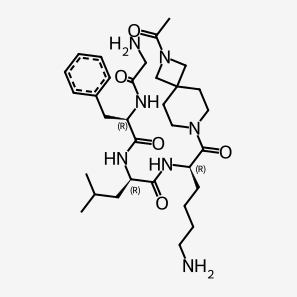 CC(=O)N1CC2(CCN(C(=O)[C@@H](CCCCN)NC(=O)[C@@H](CC(C)C)NC(=O)[C@@H](Cc3ccccc3)NC(=O)CN)CC2)C1